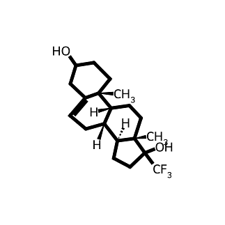 C[C@]12CCC(O)CC1=CC[C@@H]1[C@H]2CC[C@@]2(C)[C@H]1CCC2(O)C(F)(F)F